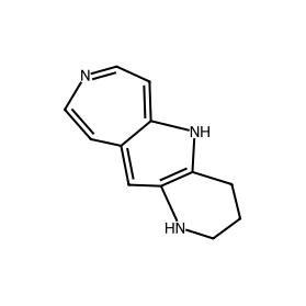 C1=CC2=CC3=C(CCCN3)NC2=CC=N1